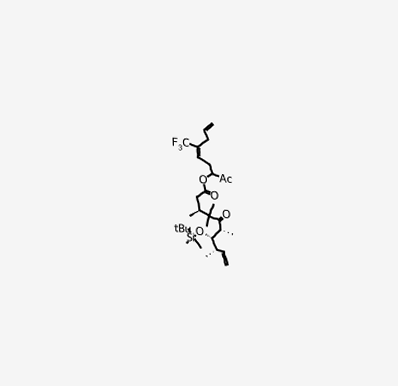 C=CC/C(=C\CC(OC(=O)C[C@H](C)C(C)(C)C(=O)[C@H](C)[C@@H](O[Si](C)(C)C(C)(C)C)[C@@H](C)C=C)C(C)=O)C(F)(F)F